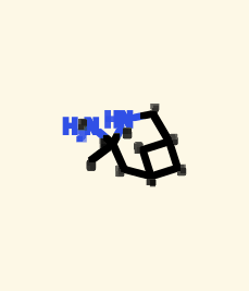 CC1(N)CC2CC(CN1)C2